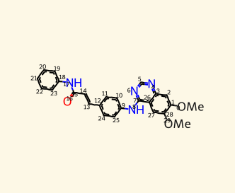 COc1cc2ncnc(Nc3ccc(C=CC(=O)Nc4ccccc4)cc3)c2cc1OC